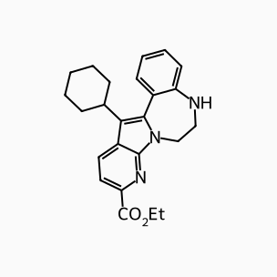 CCOC(=O)c1ccc2c(C3CCCCC3)c3n(c2n1)CCNc1ccccc1-3